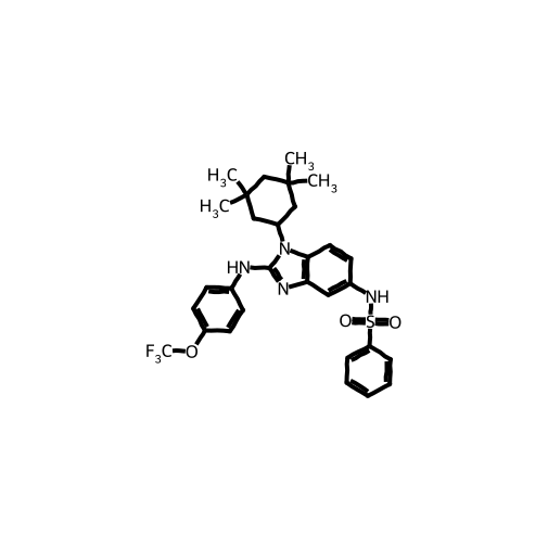 CC1(C)CC(n2c(Nc3ccc(OC(F)(F)F)cc3)nc3cc(NS(=O)(=O)c4ccccc4)ccc32)CC(C)(C)C1